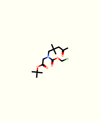 CC(=O)CC(C)(C)CN(CC(=O)OC(C)(C)C)C(=O)OCCl